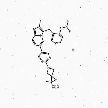 Cc1nc2ccc(-c3cnc(N4CC5(C4)CC5(C)C(=O)[O-])nc3)cn2c1Cc1ccccc1OC(F)F.[K+]